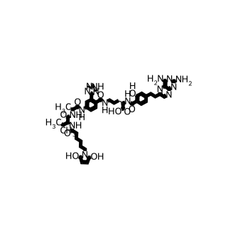 CC(C)[C@H](NC(=O)CCCCCN1C(O)C=CC1O)C(=O)N[C@@H](C)C(=O)Nc1ccc(C(=O)NCCC[C@H](NC(=O)c2ccc(CCc3cnc4nc(N)nc(N)c4n3)cc2O)C(=O)O)c(-c2nn[nH]n2)c1